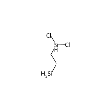 [SiH3]CC[SiH](Cl)Cl